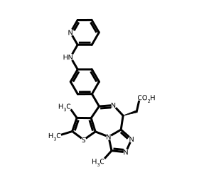 Cc1sc2c(c1C)C(c1ccc(Nc3ccccn3)cc1)=N[C@@H](CC(=O)O)c1nnc(C)n1-2